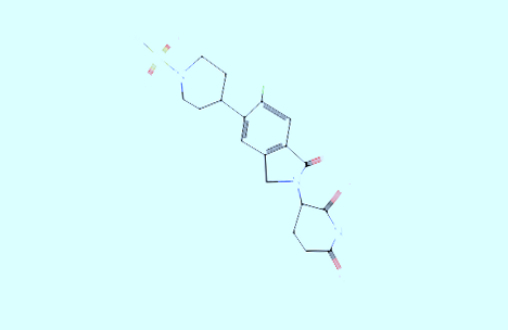 CC(C)S(=O)(=O)N1CCC(c2cc3c(cc2F)C(=O)N(C2CCC(=O)NC2=O)C3)CC1